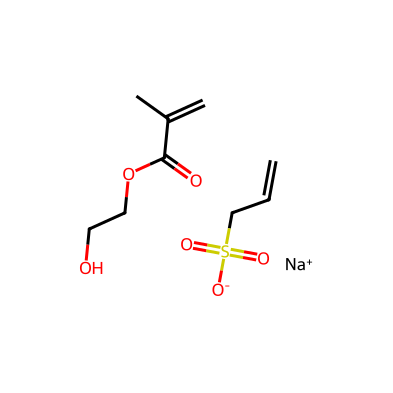 C=C(C)C(=O)OCCO.C=CCS(=O)(=O)[O-].[Na+]